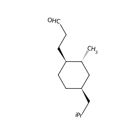 CC(C)C[C@H]1CC[C@@H](CCC=O)[C@H](C)C1